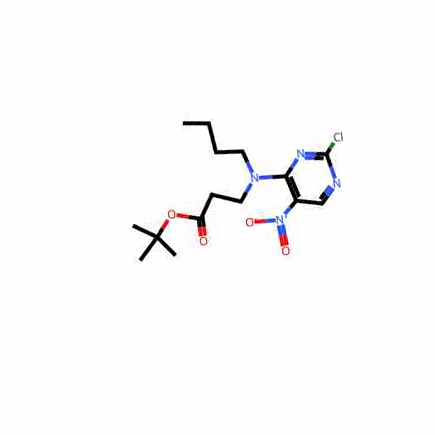 CCCCN(CCC(=O)OC(C)(C)C)c1nc(Cl)ncc1[N+](=O)[O-]